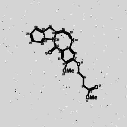 COC(=O)CCCOc1cc2c(cc1OC)C(=O)N1C(=C=C=N2)Cc2ccccc21